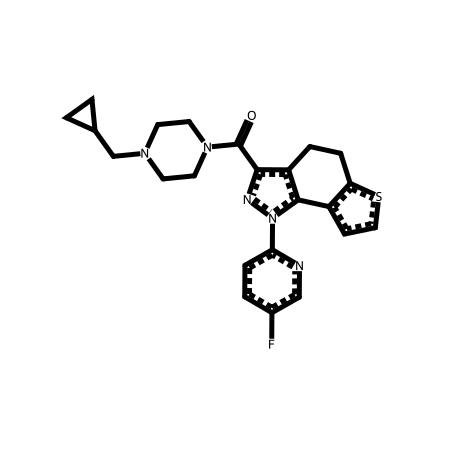 O=C(c1nn(-c2ccc(F)cn2)c2c1CCc1sccc1-2)N1CCN(CC2CC2)CC1